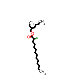 CCCCCCCCCCCCC(F)C(=O)OCC(CC)CCCC